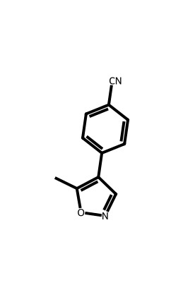 Cc1oncc1-c1ccc(C#N)cc1